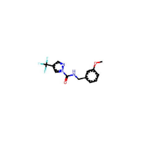 COc1cccc(CNC(=O)n2cc(C(F)(F)F)cn2)c1